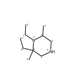 CCN1C(C)CNCC1(C)CC